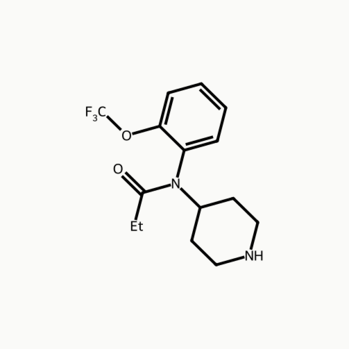 CCC(=O)N(c1ccccc1OC(F)(F)F)C1CCNCC1